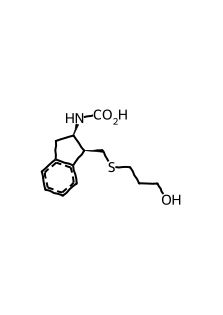 O=C(O)N[C@@H]1Cc2ccccc2[C@@H]1CSCCCO